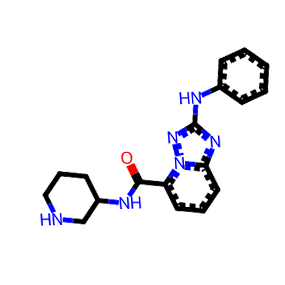 O=C(NC1CCCNC1)c1cccc2nc(Nc3ccccc3)nn12